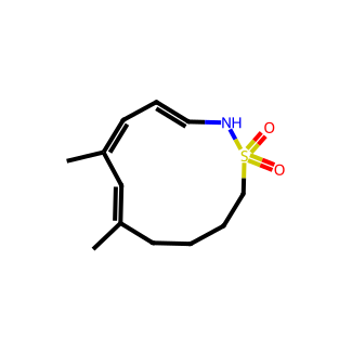 CC1=C/C=C/NS(=O)(=O)CCCC\C(C)=C\1